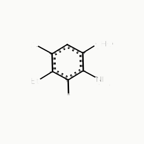 CCc1c(Cl)cc(C=O)c(N)c1CC